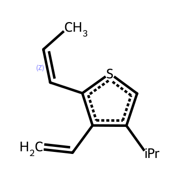 C=Cc1c(C(C)C)csc1/C=C\C